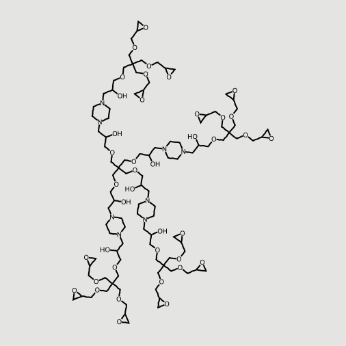 OC(COCC(COCC(O)CN1CCN(CC(O)COCC(COCC2CO2)(COCC2CO2)COCC2CO2)CC1)(COCC(O)CN1CCN(CC(O)COCC(COCC2CO2)(COCC2CO2)COCC2CO2)CC1)COCC(O)CN1CCN(CC(O)COCC(COCC2CO2)(COCC2CO2)COCC2CO2)CC1)CN1CCN(CC(O)COCC(COCC2CO2)(COCC2CO2)COCC2CO2)CC1